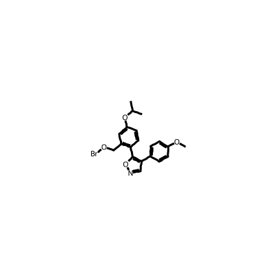 COc1ccc(-c2cnoc2-c2ccc(OC(C)C)cc2COBr)cc1